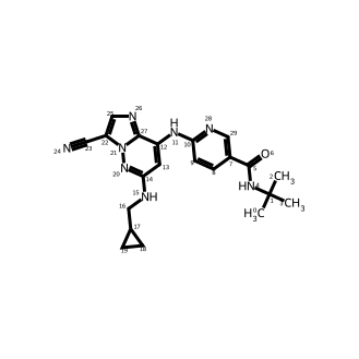 CC(C)(C)NC(=O)c1ccc(Nc2cc(NCC3CC3)nn3c(C#N)cnc23)nc1